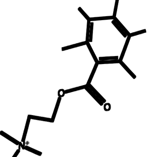 Cc1c(C)c(C)c(C(=O)OCC[N+](C)(C)C)c(C)c1C